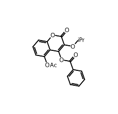 CC(=O)Oc1cccc2oc(=O)c(OC(C)C)c(OC(=O)c3ccccc3)c12